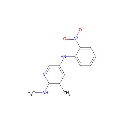 CNc1ncc(Nc2ccccc2[N+](=O)[O-])cc1C